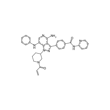 C=CC(=O)N1CCCC(n2nc(-c3ccc(C(=O)Nc4ccccn4)cc3)c3c(N)ncc(Nc4ccccc4)c32)C1